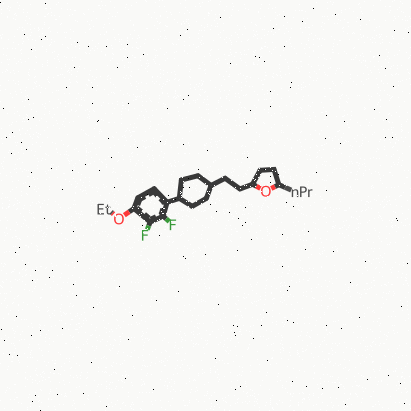 CCCC1CCC(CCC2CCC(c3ccc(OCC)c(F)c3F)CC2)O1